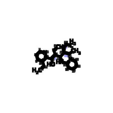 C=C/C(=C(/O)c1ncccc1C=C)C(Nc1ccccn1)C(/C=C\C)=C/C